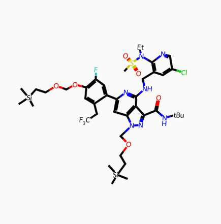 CCN(c1ncc(Cl)cc1CNc1nc(-c2cc(F)c(OCOCC[Si](C)(C)C)cc2CC(F)(F)F)cc2c1c(C(=O)NC(C)(C)C)nn2COCC[Si](C)(C)C)S(C)(=O)=O